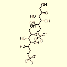 O=C(CO)[C@@H](O)[C@H](O)[C@H](O)COP(=O)([O-])[O-].O=C(CO)[C@@H](O)[C@H](O)[C@H](O)COP(=O)([O-])[O-].[C+4]